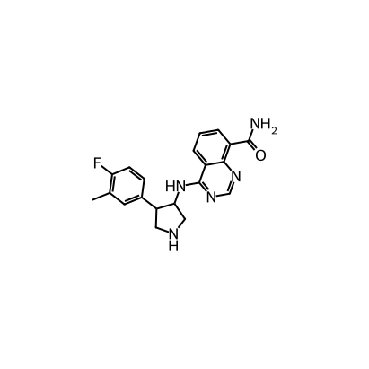 Cc1cc(C2CNCC2Nc2ncnc3c(C(N)=O)cccc23)ccc1F